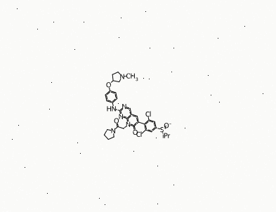 CC(C)[S+]([O-])c1cc(Cl)c(-c2cc3cnc(Nc4ccc(OC5CCN(C)C5)cc4)nc3n(CC(=O)N3CCCC3)c2=O)c(Cl)c1